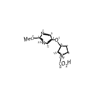 COc1ncc(OC2CCN(C(=O)O)C2)cn1